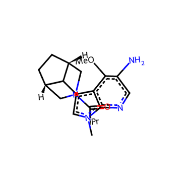 COc1c(N)cnc2c1c(C1[C@@H]3CC[C@H]1CN(C(=O)C(C)C)C3)cn2C